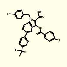 O=C(Nc1c(C(=O)O)n(Cc2ccc(Cl)cc2)c2ccc(-c3ccc(C(F)(F)F)cc3)cc12)c1ccc(Cl)cc1